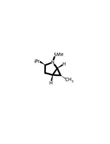 CSN1[C@@H]2[C@H](C)[C@@H]2C[C@H]1C(C)C